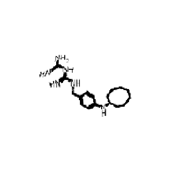 N=C(N)NC(=N)NCc1ccc(NC2CCCCCCC2)cc1